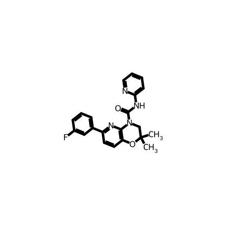 CC1(C)CN(C(=O)Nc2ccccn2)c2nc(-c3cccc(F)c3)ccc2O1